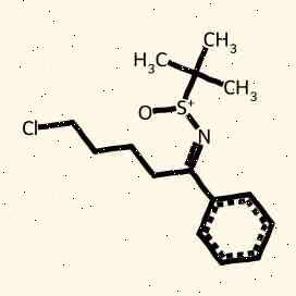 CC(C)(C)[S+]([O-])/N=C(\CCCCCl)c1ccccc1